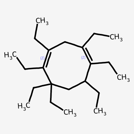 CC/C1=C(\CC)C(CC)CC(CC)(CC)/C(CC)=C(/CC)C1